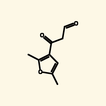 Cc1cc(C(=O)CC=O)c(C)o1